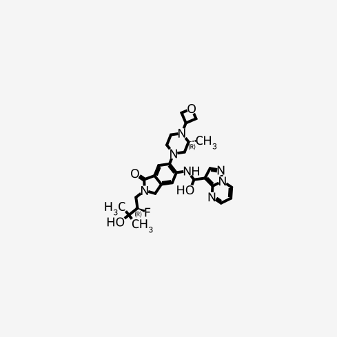 C[C@@H]1CN(c2cc3c(cc2NC(O)c2cnn4cccnc24)CN(C[C@@H](F)C(C)(C)O)C3=O)CCN1C1COC1